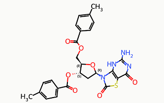 Cc1ccc(C(=O)OC[C@H]2O[C@@H](n3c(=O)sc4c(=O)nc(N)[nH]c43)C[C@@H]2OC(=O)c2ccc(C)cc2)cc1